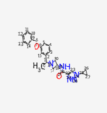 CC(c1cccc(OCc2ccccc2)c1)N1CC(NC(=O)c2cn(C3CC3)nn2)C1